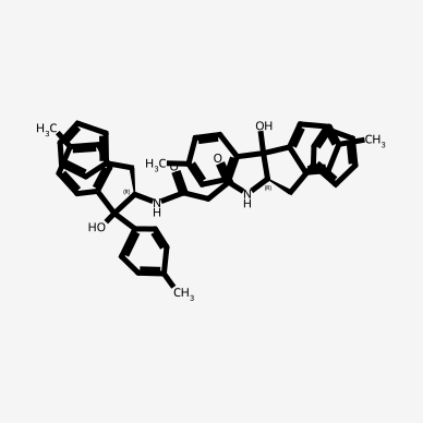 Cc1ccc(C(O)(c2ccc(C)cc2)[C@@H](Cc2ccccc2)NC(=O)CC(=O)N[C@H](Cc2ccccc2)C(O)(c2ccc(C)cc2)c2ccc(C)cc2)cc1